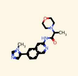 CC(C(=O)Nc1cc2cc(-c3cncn3C)ccc2cn1)N1CCOCC1